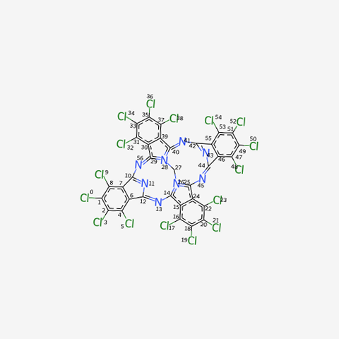 Clc1c(Cl)c(Cl)c2c(c1Cl)C1=NC/2=N\c2c3c(Cl)c(Cl)c(Cl)c(Cl)c3c3n2Cn2/c(c4c(Cl)c(Cl)c(Cl)c(Cl)c4/c2=N/C2=NC(=N\3)/c3c(Cl)c(Cl)c(Cl)c(Cl)c32)=N\1